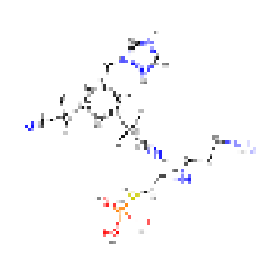 CC(C)(C#N)c1cc(Cn2cncn2)cc(C(C)(C)C#N)c1.NCCCNCCSP(=O)(O)O